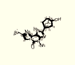 CCCN1C(=O)N2C[C@@H](C(C)CC)N=C2c2[nH]c(C34CCC(O)(CC3)CC4)nc21